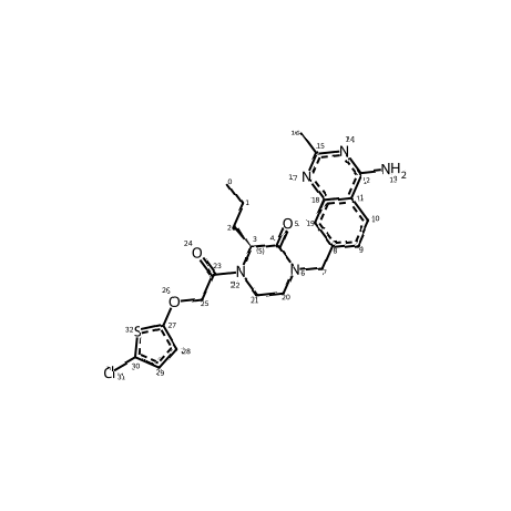 CCC[C@H]1C(=O)N(Cc2ccc3c(N)nc(C)nc3c2)CCN1C(=O)COc1ccc(Cl)s1